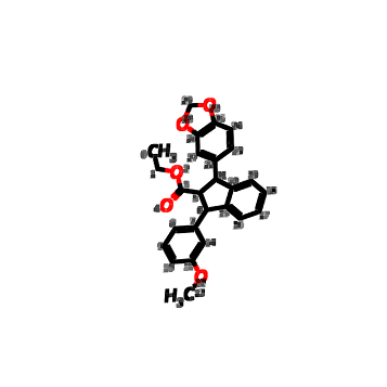 CCOC(=O)C1C(c2cccc(OC)c2)c2ccccc2C1c1ccc2c(c1)OCO2